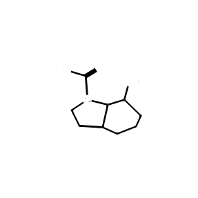 O=C(O)N1CCC2CCCC(O)C21